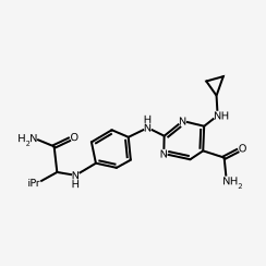 CC(C)C(Nc1ccc(Nc2ncc(C(N)=O)c(NC3CC3)n2)cc1)C(N)=O